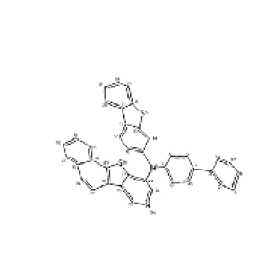 c1ccc(-c2ccc(N(c3ccc4c(c3)sc3ccccc34)c3cncc4c3sc3c5ccccc5ccc43)cc2)cc1